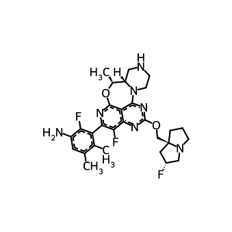 Cc1cc(N)c(F)c(-c2nc3c4c(nc(OC[C@@]56CCCN5C[C@H](F)C6)nc4c2F)N2CCNC[C@H]2[C@H](C)O3)c1C